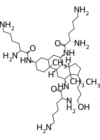 C[C@H](CCCO)C1CC[C@H]2C3[C@H](NC(=O)[C@@H](N)CCCCN)CC4C[C@H](NC(=O)C(N)CCCCN)CCC4(C)[C@H]3C[C@H](NC(=O)C(N)CCCCN)C12C